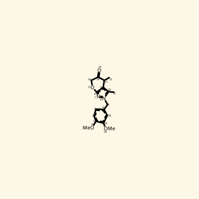 COc1ccc(Cn2nc3c(c2C)C(C)C(=O)CO3)cc1OC